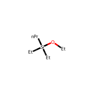 [CH2]CC[Si](CC)(CC)OCC